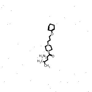 CC(C)C[C@H](N)C(=O)N1CCN(CCCOC2=CC[CH]C=C2)CC1